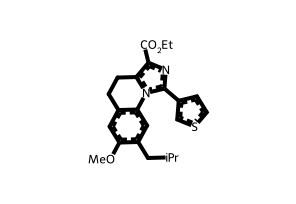 CCOC(=O)c1nc(-c2ccsc2)n2c1CCc1cc(OC)c(CC(C)C)cc1-2